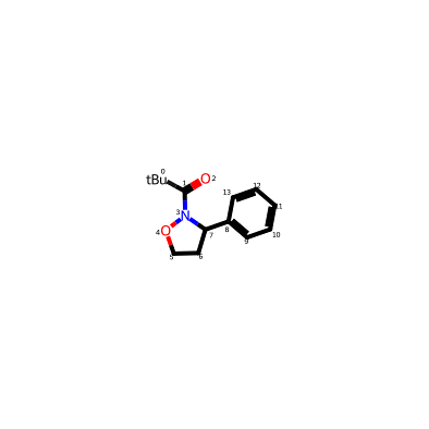 CC(C)(C)C(=O)N1OCCC1c1ccccc1